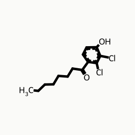 CCCCCCCC(=O)c1ccc(O)c(Cl)c1Cl